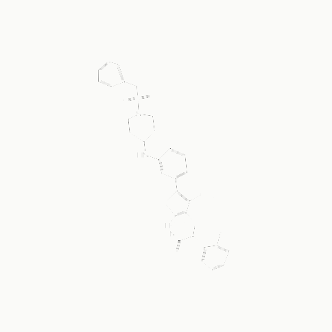 Cc1ccccc1C(Oc1c(C(=O)O)sc(-c2cccc(NC3CCN(S(=O)(=O)Cc4ccccc4)CC3)c2)c1C)C(N)=O